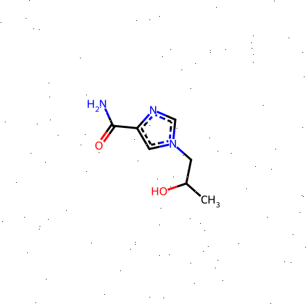 CC(O)Cn1cnc(C(N)=O)c1